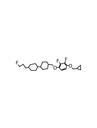 FCCCC1CCC(C2CCC(COc3ccc(OCC4CC4)c(F)c3F)CC2)CC1